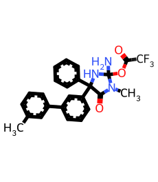 Cc1cccc(-c2cccc(C3(c4ccccc4)NC(N)(OC(=O)C(F)(F)F)N(C)C3=O)c2)c1